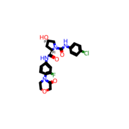 O=C(Nc1ccc(N2CCOCC2=O)c(F)c1)[C@H]1C[C@@H](O)CN1C(=O)Nc1ccc(Cl)cc1